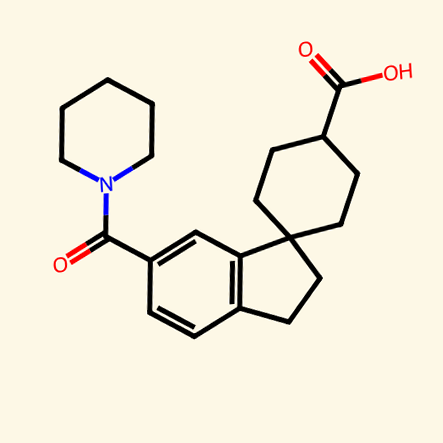 O=C(O)C1CCC2(CCc3ccc(C(=O)N4CCCCC4)cc32)CC1